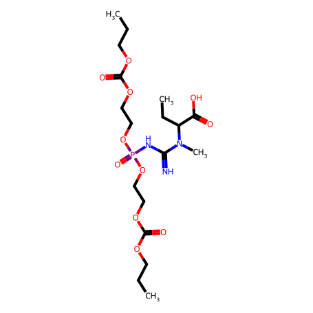 CCCOC(=O)OCCOP(=O)(NC(=N)N(C)C(CC)C(=O)O)OCCOC(=O)OCCC